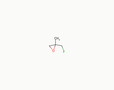 CC1(CF)CO1